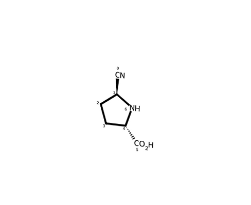 N#C[C@@H]1CC[C@@H](C(=O)O)N1